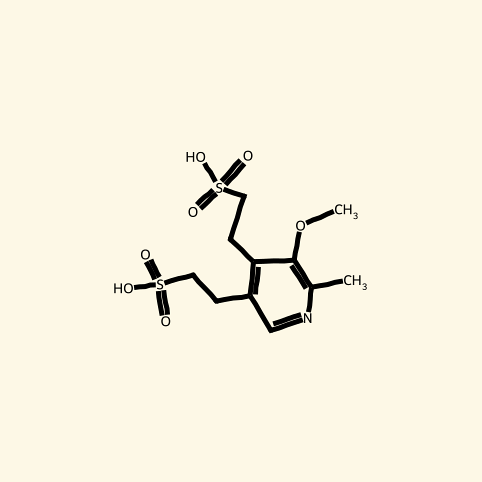 COc1c(C)ncc(CCS(=O)(=O)O)c1CCS(=O)(=O)O